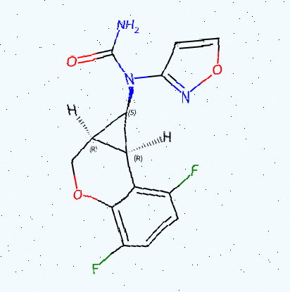 NC(=O)N(c1ccon1)[C@@H]1[C@@H]2COc3c(F)ccc(F)c3[C@@H]21